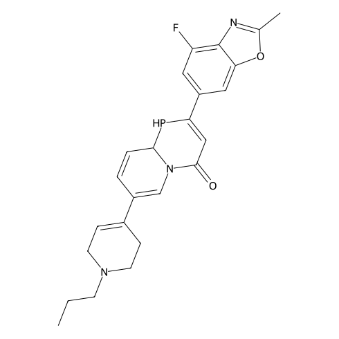 CCCN1CC=C(C2=CN3C(=O)C=C(c4cc(F)c5nc(C)oc5c4)PC3C=C2)CC1